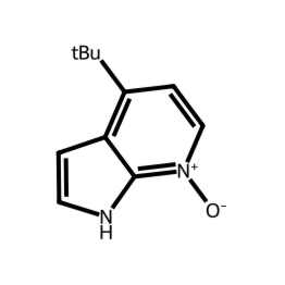 CC(C)(C)c1cc[n+]([O-])c2[nH]ccc12